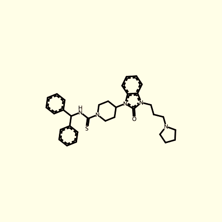 O=c1n(CCCN2CCCC2)c2ccccc2n1C1CCN(C(=S)NC(c2ccccc2)c2ccccc2)CC1